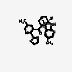 Cc1ccc(N[C@@H]2CC3CC[C@@H]2N(C(=O)c2cc(C)cnc2-n2nccn2)C3)nc1